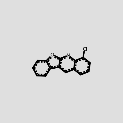 Clc1cccc2cc3c(nc12)oc1ccccc13